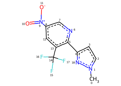 Cn1ccc(-c2ncc([N+](=O)[O-])cc2C(F)(F)F)n1